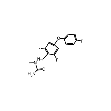 CN(N=Cc1c(F)cc(Oc2ccc(F)cc2)cc1F)C(N)=O